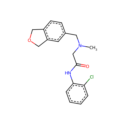 CN(CC(=O)Nc1ccccc1Cl)Cc1ccc2c(c1)COC2